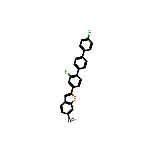 CCCc1ccc2cc(-c3ccc(-c4ccc(-c5ccc(F)cc5)cc4)c(F)c3)sc2c1